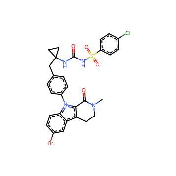 CN1CCc2c(n(-c3ccc(CC4(NC(=O)NS(=O)(=O)c5ccc(Cl)cc5)CC4)cc3)c3ccc(Br)cc23)C1=O